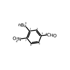 CCCCc1cc(C=O)ccc1[N+](=O)[O-]